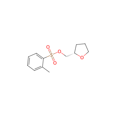 Cc1ccccc1S(=O)(=O)OC[C@@H]1CCCO1